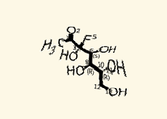 CC(=O)[C@@](O)(F)[C@@H](O)[C@H](O)[C@H](O)CO